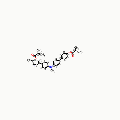 C=C(/C=C\C(=C)c1ccc(N(C)c2ccc(-c3ccc(OC(=O)C(=C)C)cc3)cc2)cc1)OC(=O)C(=C)C